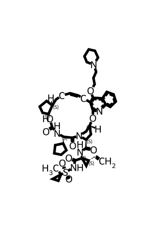 C=C[C@@H]1C[C@]1(NC(=O)[C@@H]1C[C@@H]2CN1C(=O)[C@H](C1CCCC1)NC(=O)O[C@@H]1CCC[C@H]1CCC=CCc1c(nc3ccccc3c1OCCCN1CCCCC1)O2)C(=O)NS(=O)(=O)C1(C)CC1